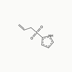 C=CCS(=O)(=O)c1ccc[nH]1